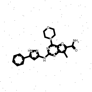 Cc1c(C(N)=O)oc2c(N3CCOCC3)nc(Nc3cc(-c4ccccc4)[nH]n3)nc12